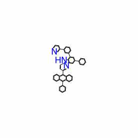 C1=CC2Nc3c(-c4cccc(-c5cccnc5)c4)cc(-c4ccccc4)cc3N2C=C1c1c2ccccc2c(-c2ccccc2)c2ccccc12